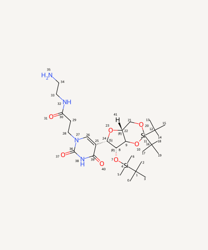 CC(C)(C)[Si](C)(C)O[C@H]1C2O[Si](C(C)(C)C)(C(C)(C)C)OC[C@H]2O[C@H]1c1cn(CCC(=O)NCCN)c(=O)[nH]c1=O